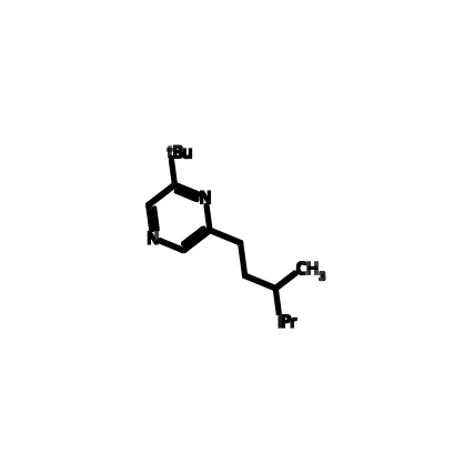 CC(C)C(C)CCc1cncc(C(C)(C)C)n1